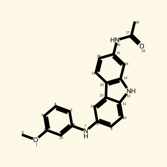 COc1cccc(Nc2ccc3[nH]c4cc(NC(C)=O)ccc4c3c2)c1